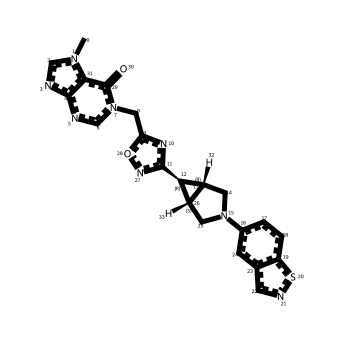 Cn1cnc2ncn(Cc3nc([C@H]4[C@@H]5CN(c6ccc7sncc7c6)C[C@@H]54)no3)c(=O)c21